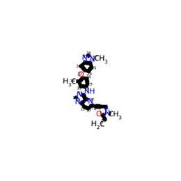 C=CC(=O)N(C)CC#Cc1ccc2ncnc(Nc3ccc(Oc4ccc5c(c4)ncn5C)c(C)c3)c2n1